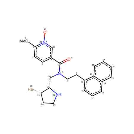 COc1ccc(C(=O)N(CCc2cccc3ccccc23)C[C@@H]2NCC[C@@H]2S)c[n+]1[O-]